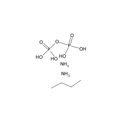 CCCC.N.N.O=P(O)(O)OP(=O)(O)O